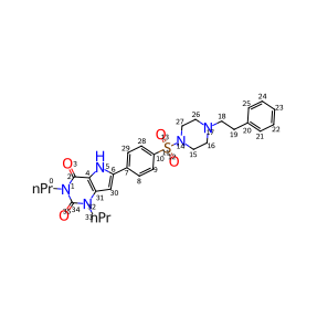 CCCn1c(=O)c2[nH]c(-c3ccc(S(=O)(=O)N4CCN(CCc5ccccc5)CC4)cc3)cc2n(CCC)c1=O